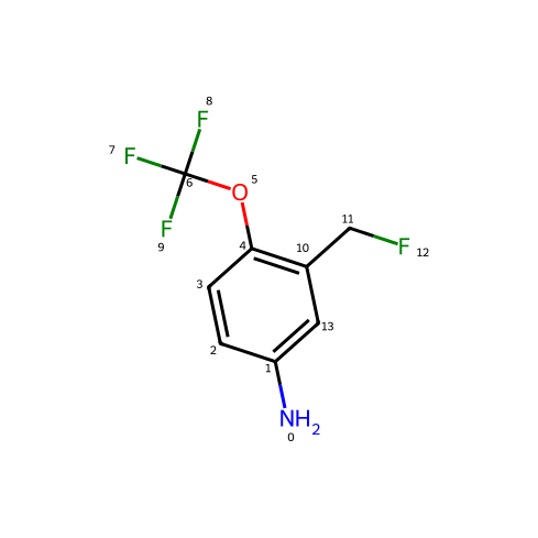 Nc1ccc(OC(F)(F)F)c(CF)c1